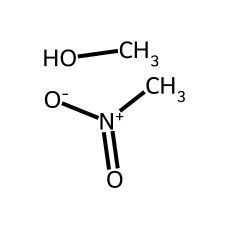 CO.C[N+](=O)[O-]